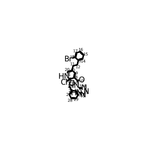 O=C(Nc1nnn[nH]1)C1=CC(CCc2ccccc2Br)=CNC1(Cl)OCc1ccccc1